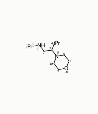 CC(C)NCC(C(C)C)N1CCOCC1